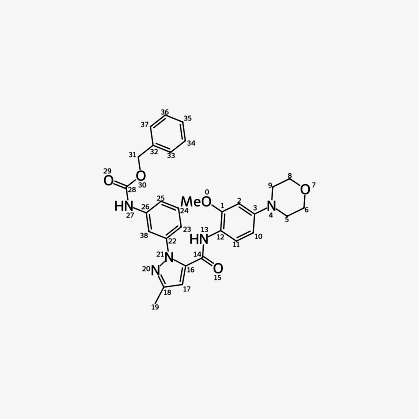 COc1cc(N2CCOCC2)ccc1NC(=O)c1cc(C)nn1-c1cccc(NC(=O)OCc2ccccc2)c1